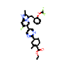 CCOC(=O)C1=C(C)CC(c2ncc(-c3cn4c(Cc5ccccc5OC(F)F)c(C)nc4cc3F)cn2)CC1